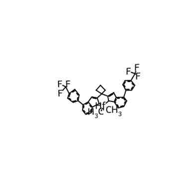 [CH3][Hf]1([CH3])[CH]2C(=Cc3c(-c4ccc(C(F)(F)F)cc4)cccc32)C2(CCC2)C2=Cc3c(-c4ccc(C(F)(F)F)cc4)cccc3[CH]21